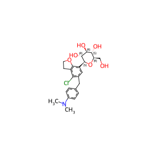 CN(C)c1ccc(Cc2cc([C@@H]3O[C@H](CO)[C@@H](O)[C@H](O)[C@H]3O)c3c(c2Cl)CCO3)cc1